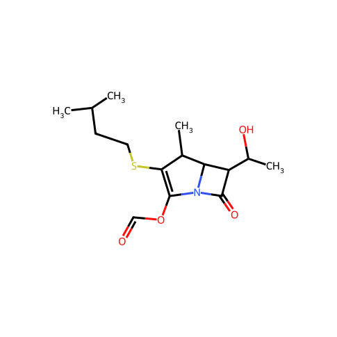 CC(C)CCSC1=C(OC=O)N2C(=O)C(C(C)O)C2C1C